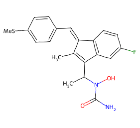 CSc1ccc(C=C2C(C)=C(C(C)N(O)C(N)=O)c3cc(F)ccc32)cc1